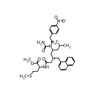 COC(=O)C(CCSC)NC(=O)CN(Cc1cccc2ccccc12)CC(CC(C)C)N(CCc1ccc([N+](=O)[O-])cc1)C(N)=O